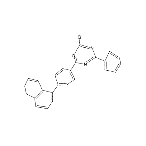 Clc1nc(-c2ccccc2)nc(-c2ccc(-c3cccc4c3C=CCC4)cc2)n1